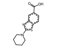 O=C(O)c1ccc2sc(N3CCCCC3)nc2c1